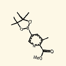 COC(=O)c1ncc(B2OC(C)(C)C(C)(C)O2)cc1C